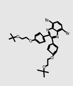 CC(C)(C)OCCOc1ccc(-c2nc3c(Br)ccc(Br)c3nc2-c2ccc(OCCOC(C)(C)C)cc2)cc1